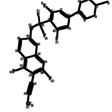 CC1CC=C(c2cc(F)c(C(F)(F)Oc3ccc4c(F)c(C#CC(F)(F)F)c(F)cc4c3)c(F)c2)CC1